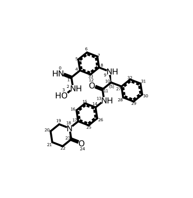 N=C(NO)c1cccc(N[C@H](C(=O)Nc2ccc(N3CCCCC3=O)cc2)c2ccccc2)c1